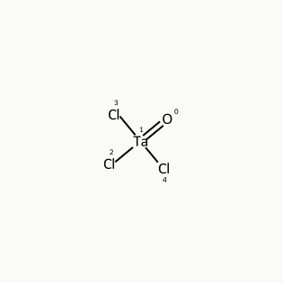 [O]=[Ta]([Cl])([Cl])[Cl]